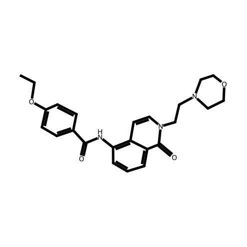 CCOc1ccc(C(=O)Nc2cccc3c(=O)n(CCN4CCOCC4)ccc23)cc1